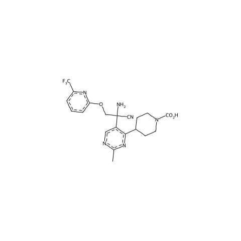 Cc1ncc(C(N)(C#N)COc2cccc(C(F)(F)F)n2)c(C2CCN(C(=O)O)CC2)n1